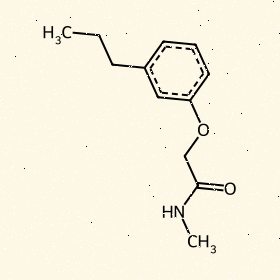 CCCc1cccc(OCC(=O)NC)c1